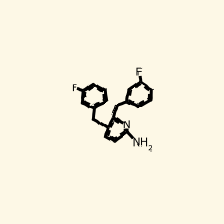 Nc1ccc(Cc2cccc(F)c2)c(Cc2cccc(F)c2)n1